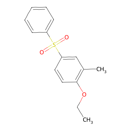 CCOc1ccc(S(=O)(=O)c2ccccc2)cc1C